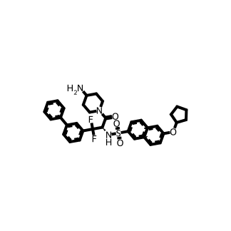 NC1CCN(C(=O)[C@H](NS(=O)(=O)c2ccc3cc(OC4CCCC4)ccc3c2)C(F)(F)c2cccc(-c3ccccc3)c2)CC1